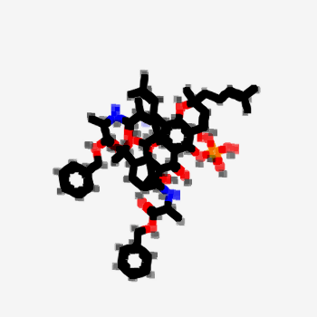 CC(C)=CCCC1(C)C=Cc2c(c(CC=C(C)C)c3c(c2OP(=O)(O)O)C(=O)C2C(NC(C)C(=O)OCc4ccccc4)C4CC5C(C)(C)OC(C/C=C(/C)C(=O)NC(C)C(=O)OCc6ccccc6)(C4=O)C25O3)O1